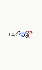 CCOC(=O)C1CCCN(c2ncc(C(F)(F)F)c(N3CC[C@@H](O)C3=O)n2)C1